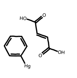 O=C(O)C=CC(=O)O.[Hg][c]1ccccc1